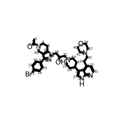 CC(=O)N1CCc2c(c(-c3ccc(Br)cc3)nn2CC(O)CN2CCC(c3c[nH]c4nccc(CCN5CCOCC5)c34)CC2)C1